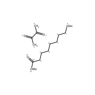 CC(=O)C(C)=O.CCCCCCCCCCCCCCCCCC(=O)OC